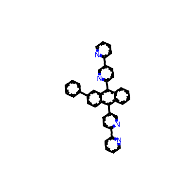 c1ccc(-c2ccc3c(-c4ccc(-c5ccccn5)nc4)c4ccccc4c(-c4ccc(-c5ccccn5)cn4)c3c2)cc1